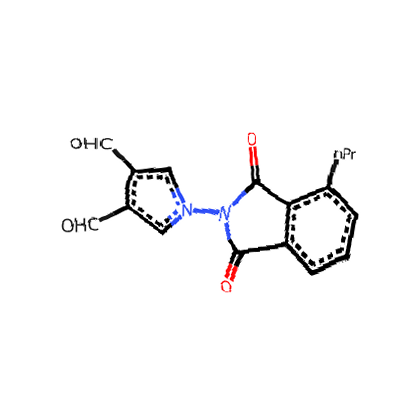 CCCc1cccc2c1C(=O)N(n1cc(C=O)c(C=O)c1)C2=O